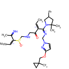 C/C=C(C(=O)CNC[S+]([O-])/C(=C/NC)C(C)=N)\C(=N/Cn1ccc(OCC2(C(F)(F)F)CC2)n1)N1CC(C(C)C)CC1(C)C